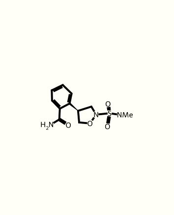 CNS(=O)(=O)N1C[C@H](c2ccccc2C(N)=O)CO1